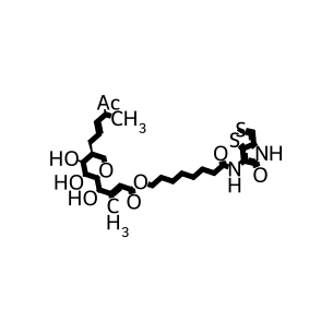 CC(=O)[C@H](C)/C=C/C[C@H]1CO[C@@H]([C@H](O)/C(C)=C/C(=O)OCCCCCCCC(=O)Nc2c3sscc-3[nH]c2=O)[C@H](O)[C@@H]1O